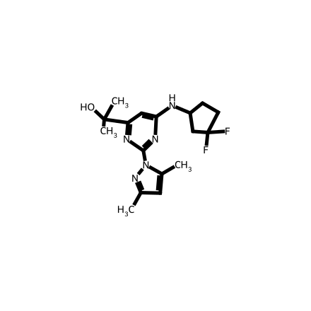 Cc1cc(C)n(-c2nc(NC3CCC(F)(F)C3)cc(C(C)(C)O)n2)n1